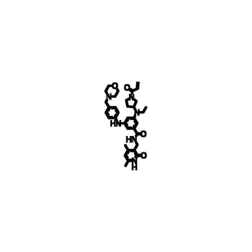 C=CC(=O)N1CCC(N(CC)c2cc(Nc3ccc(CN4CCOCC4)cc3)cc(C(=O)NCc3c(C)cc(C)[nH]c3=O)c2)C1